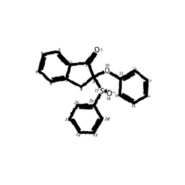 O=C1c2ccccc2CC1(Oc1ccccc1)[S+]([O-])c1ccccc1